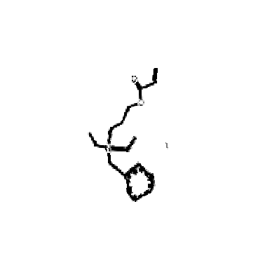 C=CC(=O)OCCC[N+](CC)(CC)Cc1ccccc1.[I-]